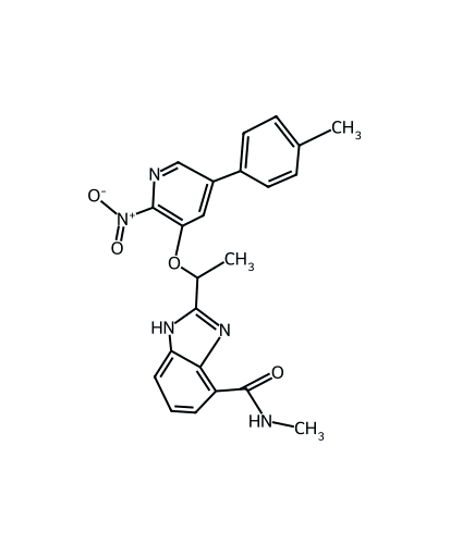 CNC(=O)c1cccc2[nH]c(C(C)Oc3cc(-c4ccc(C)cc4)cnc3[N+](=O)[O-])nc12